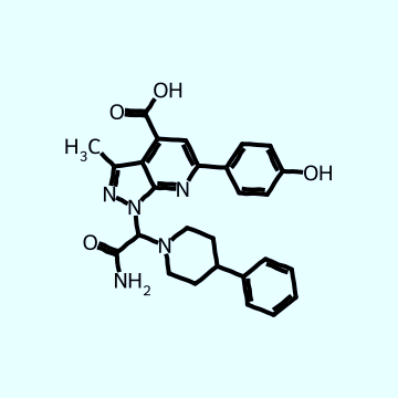 Cc1nn(C(C(N)=O)N2CCC(c3ccccc3)CC2)c2nc(-c3ccc(O)cc3)cc(C(=O)O)c12